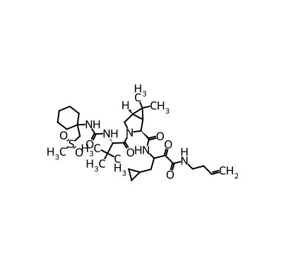 C=CCCNC(=O)C(=O)C(CC1CC1)NC(=O)[C@@H]1C2[C@H](CN1C(=O)[C@@H](NC(=O)NC1(CS(C)(=O)=O)CCCCC1)C(C)(C)C)C2(C)C